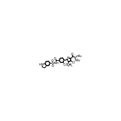 CCCCN(CCCC)C(=O)c1nn(-c2ccc(C(=O)NS(=O)(=O)c3ccc4c(c3)CCN4)cc2C(=O)O)c(C)c1Cl